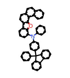 c1ccc(N(c2ccc(C3(c4ccccc4)c4ccccc4-c4ccccc43)cc2)c2cccc3c2oc2c3ccc3ccc4ccccc4c32)cc1